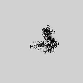 CC[C@H](C)[C@H](NC(=O)[C@H](CO)NC(=O)[C@H](Cc1ccccc1)NC(=O)[C@@H](NC(=O)[C@H](CS)NC(=O)[C@@H](N)Cc1ccccc1)[C@@H](C)O)C(=O)N1CCC[C@H]1C(=O)N1CCC[C@H]1C(=O)N[C@@H](CCC(N)=O)C(=O)N[C@@H](CS)C(=O)N[C@@H](Cc1ccc(O)cc1)C(=O)NCC(=O)O